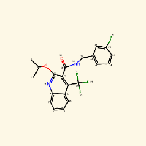 CC(C)Oc1nc2ccccc2c(C(F)(F)F)c1C(=O)NCc1cccc(F)c1